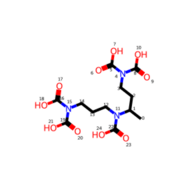 CC(CCN(C(=O)O)C(=O)O)N(CCCN(C(=O)O)C(=O)O)C(=O)O